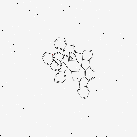 c1ccc2c(c1)-c1ccccc1C21c2ccccc2C2(c3ccccc31)c1c(-c3nc(-c4cccc5ccccc45)c4ccccc4n3)cccc1-c1ccc3c(oc4ccccc43)c12